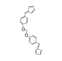 C1=CC(=Cc2ccc(OCOc3ccc(C=C4C=CC=C4)cc3)cc2)C=C1